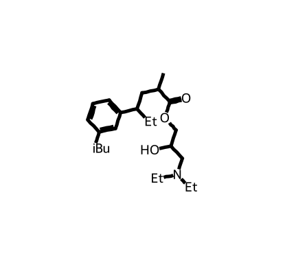 CCC(C)c1cccc(C(CC)CC(C)C(=O)OCC(O)CN(CC)CC)c1